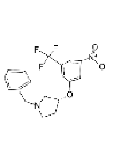 O=[N+]([O-])c1cc(O[C@@H]2CCN(Cc3ccccc3)C2)cc(C(F)(F)F)c1